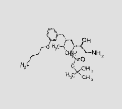 CCCCOc1cccc(C[C@@H](C[C@H](NC(=O)OC(C)(C)C)[C@@H](O)CN)C(C)C)c1